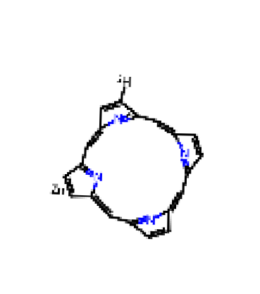 [2H]C1=CC2=CC3=NC(=CC4=NC(=CC5=NC(=CC1=N2)C=C5)C=C4)C=C3.[Zn]